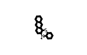 CN1c2ccccc2Sc2c1ccc1cc3ccccc3cc21